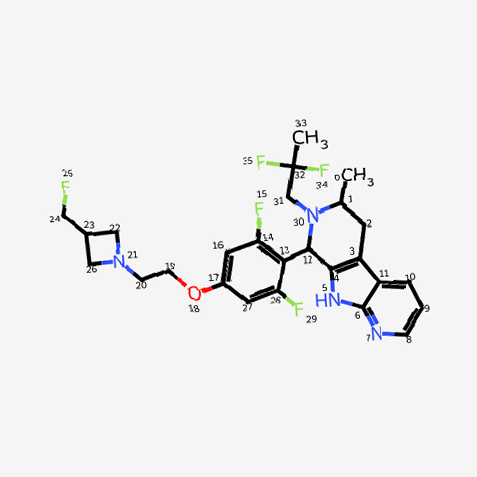 CC1Cc2c([nH]c3ncccc23)C(c2c(F)cc(OCCN3CC(CF)C3)cc2F)N1CC(C)(F)F